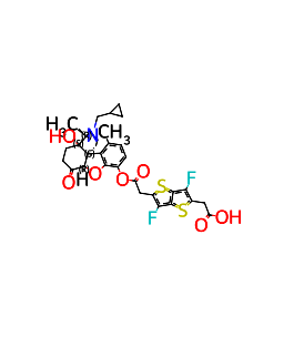 Cc1ccc(OC(=O)Cc2sc3c(F)c(CC(=O)O)sc3c2F)c2c1[C@]13CCN(CC4CC4)[C@H](C)[C@]1(O)CCC(=O)[C@@H]3O2